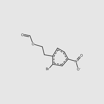 O=COCCc1ccc([N+](=O)[O-])cc1Br